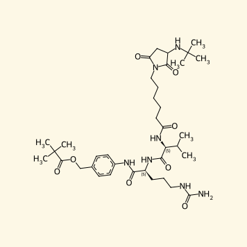 CC(C)[C@H](NC(=O)CCCCCN1C(=O)CC(NC(C)(C)C)C1=O)C(=O)N[C@@H](CCCNC(N)=O)C(=O)Nc1ccc(COC(=O)C(C)(C)C)cc1